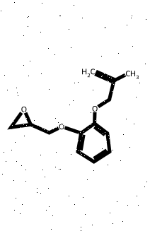 C=C(C)COc1ccccc1OCC1CO1